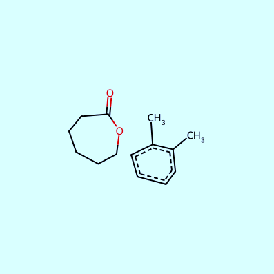 Cc1ccccc1C.O=C1CCCCCO1